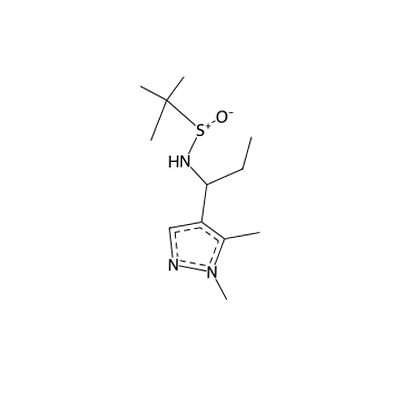 CCC(N[S+]([O-])C(C)(C)C)c1cnn(C)c1C